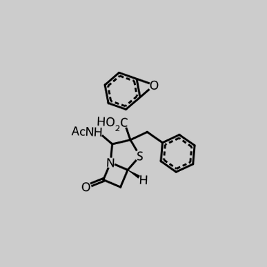 CC(=O)NC1N2C(=O)C[C@H]2SC1(Cc1ccccc1)C(=O)O.c1ccc2c(c1)O2